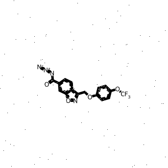 [N-]=[N+]=NC(=O)c1ccc2c(COc3ccc(OC(F)(F)F)cc3)noc2c1